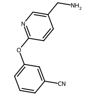 N#Cc1cccc(Oc2ccc(CN)cn2)c1